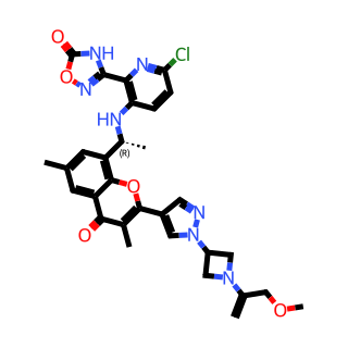 C=C(COC)N1CC(n2cc(-c3oc4c([C@@H](C)Nc5ccc(Cl)nc5-c5noc(=O)[nH]5)cc(C)cc4c(=O)c3C)cn2)C1